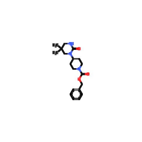 CC1(C)CNC(=O)N(C2CCN(C(=O)OCc3ccccc3)CC2)C1